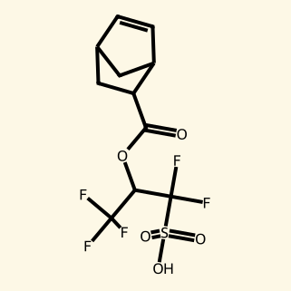 O=C(OC(C(F)(F)F)C(F)(F)S(=O)(=O)O)C1CC2C=CC1C2